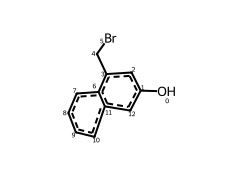 Oc1cc(CBr)c2ccccc2c1